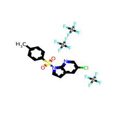 Cc1ccc(S(=O)(=O)n2ccc3cc(Cl)cnc32)cc1.F[B-](F)(F)F.F[B-](F)(F)F.F[B-](F)(F)F